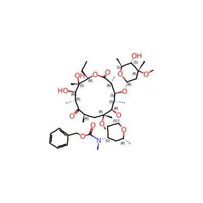 CC[C@H]1OC(=O)[C@H](C)[C@@H](O[C@H]2C[C@@](C)(OC)[C@@H](O)[C@H](C)O2)[C@H](C)[C@@H](O[C@H]2C[C@@H](N(C)C(=O)OCc3ccccc3)C[C@@H](C)O2)[C@](C)(OC)C[C@@H](C)C(=O)[C@H](C)[C@@H](O)[C@]1(C)O